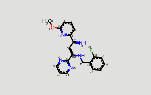 COc1cccc(C(=N)/C=C(\NCc2ccccc2F)c2ncccn2)n1